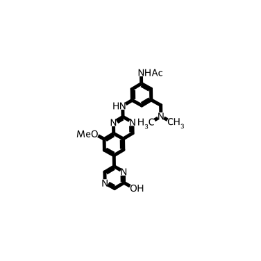 COc1cc(-c2cncc(O)n2)cc2cnc(Nc3cc(CN(C)C)cc(NC(C)=O)c3)nc12